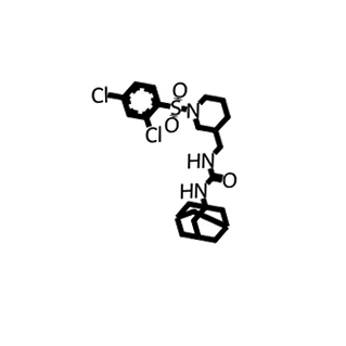 O=C(NCC1CCCN(S(=O)(=O)c2ccc(Cl)cc2Cl)C1)NC12CC3CC(CC(C3)C1)C2